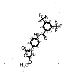 COc1nn(-c2ccc(NC(=O)c3cc(C(F)(F)F)cc(C(F)(F)F)c3)cc2)c(=O)o1